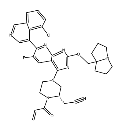 C=CC(=O)N1CCN(c2nc(OCC34CCCN3CCC4)nc3nc(-c4cncc5cccc(Cl)c45)c(F)cc23)C[C@@H]1CC#N